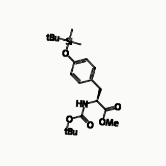 COC(=O)[C@H](Cc1ccc(O[Si](C)(C)C(C)(C)C)cc1)NC(=O)OC(C)(C)C